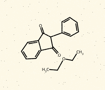 CCOCC.O=C1c2ccccc2C(=O)C1c1ccccc1